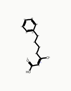 O=C(O)/C=C(/Cl)CCCCc1ccccc1